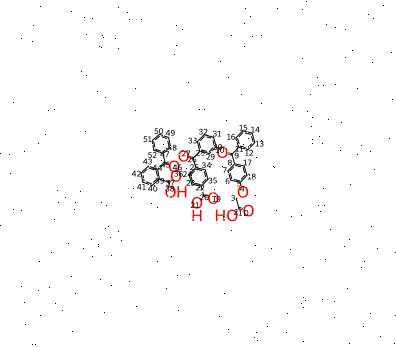 O=C(O)COc1ccc(C(=O)c2ccccc2)cc1.O=C(O)c1ccc(C(=O)c2ccccc2)cc1.O=C(O)c1ccccc1C(=O)c1ccccc1